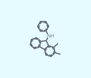 Cc1ccc2c(c1C)C(Nc1ccccc1)c1ccccc1-2